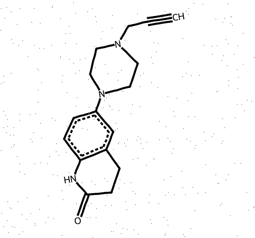 C#CCN1CCN(c2ccc3c(c2)CCC(=O)N3)CC1